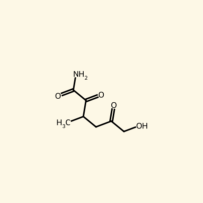 CC(CC(=O)CO)C(=O)C(N)=O